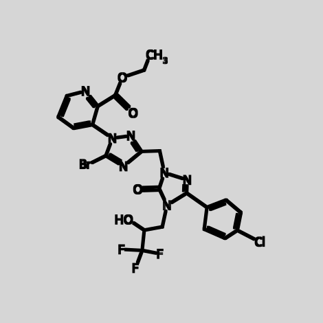 CCOC(=O)c1ncccc1-n1nc(Cn2nc(-c3ccc(Cl)cc3)n(CC(O)C(F)(F)F)c2=O)nc1Br